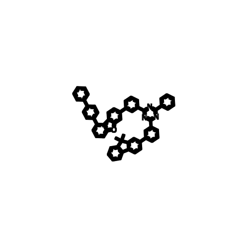 CC1(C)c2ccccc2-c2ccc(-c3cccc(-c4nc(-c5ccccc5)nc(-c5cccc(-c6ccc7c(c6)oc6cccc(-c8ccc(-c9ccccc9)cc8)c67)c5)n4)c3)cc21